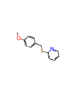 COc1ccc(CSc2ccccn2)cc1